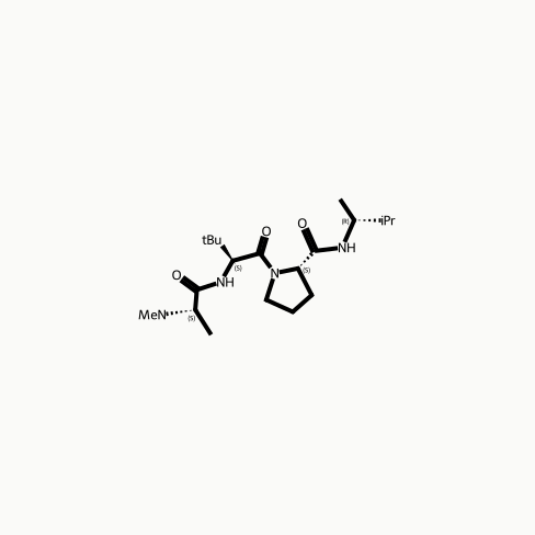 CN[C@@H](C)C(=O)N[C@H](C(=O)N1CCC[C@H]1C(=O)N[C@H](C)C(C)C)C(C)(C)C